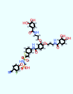 N#Cc1ccc(OP(=O)(O)CNS(=O)(=O)c2cc3cc(NC(=O)c4ccc(OCCCNC(=O)c5ccc(O)c(O)c5)c(OCCCNC(=O)c5ccc(O)c(O)c5)c4)ccc3s2)cc1F